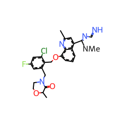 CN/C(=N\C=N)c1cc(C)nc2c(OCc3c(Cl)cc(F)cc3CN3CCOC(C)C3=O)cccc12